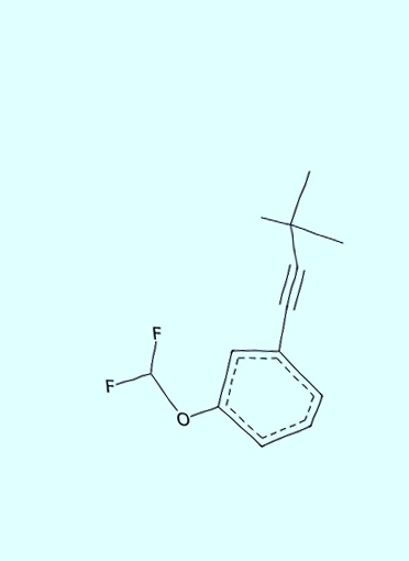 CC(C)(C)C#Cc1cccc(OC(F)F)c1